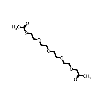 CC(=O)COCCOCCOCCOCCSC(C)=O